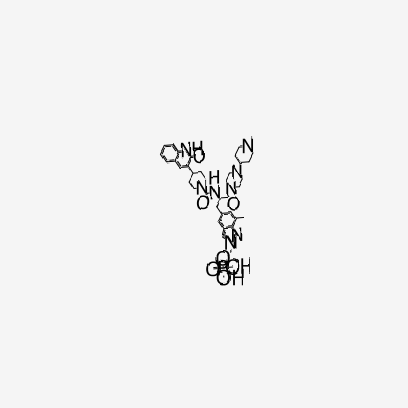 Cc1cc(C[C@@H](NC(=O)N2CCC(c3cc4ccccc4[nH]c3=O)CC2)C(=O)N2CCN(C3CCN(C)CC3)CC2)cc2cn(COP(=O)(O)O)nc12